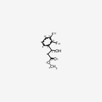 COC(=O)CC(O)c1cccc(F)c1F